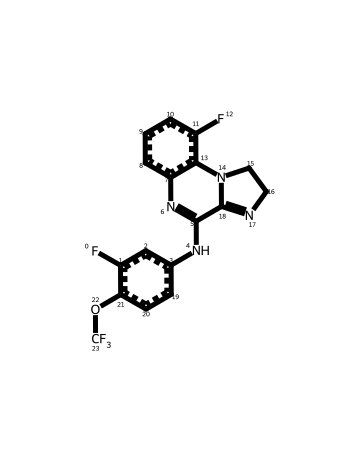 Fc1cc(NC2=Nc3cccc(F)c3N3CCN=C23)ccc1OC(F)(F)F